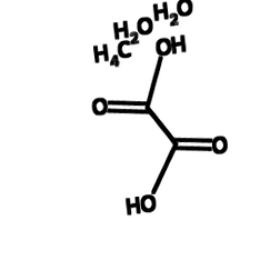 C.O.O.O=C(O)C(=O)O